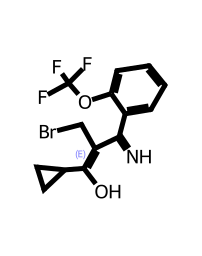 N=C(/C(CBr)=C(\O)C1CC1)c1ccccc1OC(F)(F)F